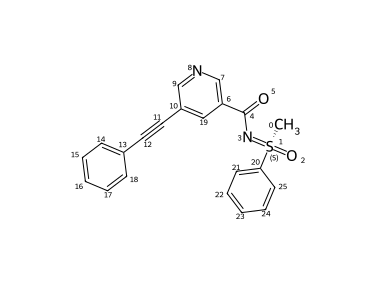 C[S@@](=O)(=NC(=O)c1cncc(C#Cc2ccccc2)c1)c1ccccc1